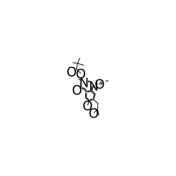 COc1cc2c(=O)n(COC(=O)C(C)(C)C)c[n+]([O-])c2cc1CC1CO1